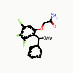 COC(c1ccccc1)c1c(OCC(N)=O)cc(F)c(F)c1F